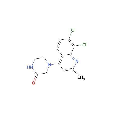 Cc1cc(N2CCNC(=O)C2)c2ccc(Cl)c(Cl)c2n1